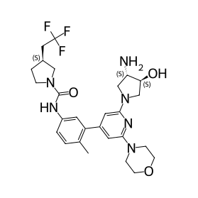 Cc1ccc(NC(=O)N2CC[C@@H](CC(F)(F)F)C2)cc1-c1cc(N2CCOCC2)nc(N2C[C@H](N)[C@@H](O)C2)c1